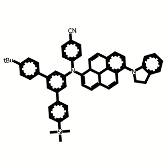 CC(C)(C)c1ccc(-c2cc(-c3ccc([Si](C)(C)C)cc3)cc(N(C3=CC=C4C=Cc5c(N6CCc7ccccc76)ccc6c5C4C3C=C6)c3ccc(C#N)cc3)c2)cc1